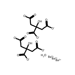 O.O=C([O-])CC(O)(CC(=O)[O-])C(=O)[O-].O=C([O-])CC(O)(CC(=O)[O-])C(=O)[O-].[Ba+2].[Ba+2].[Ba+2]